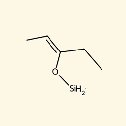 CC=C(CC)O[SiH2]